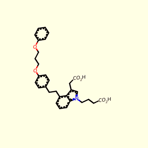 O=C(O)CCCn1cc(CC(=O)O)c2c(CCc3ccc(OCCCOc4ccccc4)cc3)cccc21